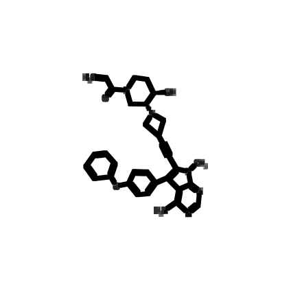 C=CC(=O)N1CC[C@@H](O)[C@H](N2CC(C#Cc3c(-c4ccc(Oc5ccccc5)cc4)c4c(N)ncnc4n3C)C2)C1